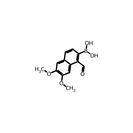 COc1cc2ccc(B(O)O)c(C=O)c2cc1OC